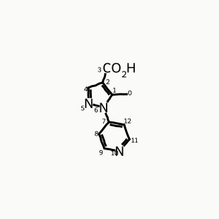 Cc1c(C(=O)O)cnn1-c1ccncc1